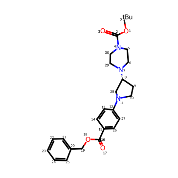 CC(C)(C)OC(=O)N1CCN([C@@H]2CCN(c3ccc(C(=O)OCc4ccccc4)cc3)C2)CC1